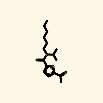 CCCCCCN(C(=O)c1ccc(C(C)=O)o1)C(C)C